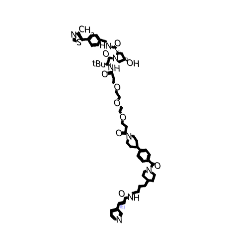 Cc1ncsc1-c1ccc(CNC(=O)[C@@H]2C[C@@H](O)CN2C(=O)[C@@H](NC(=O)CCOCCOCCOCCC(=O)N2CCC(c3ccc(C(=O)N4CCC(CCCCNC(=O)/C=C/c5cccnc5)CC4)cc3)CC2)C(C)(C)C)cc1